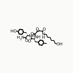 Cc1ccc(C[C@H](NC(=O)C2OC2C(=O)NCCCCCCO)C(=O)N[C@@H](Cc2ccc(O)cc2)C(N)=O)cc1